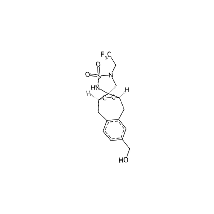 O=S1(=O)N[C@@]2(CN1CC(F)(F)F)[C@@H]1CC[C@H]2Cc2ccc(CO)cc2C1